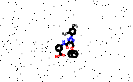 Cc1ccc(-n2nc(COC34CC5CC(CC(C5)C3)C4)c(C(=O)Nc3cccc(C(=O)O)c3)n2)c(C)c1